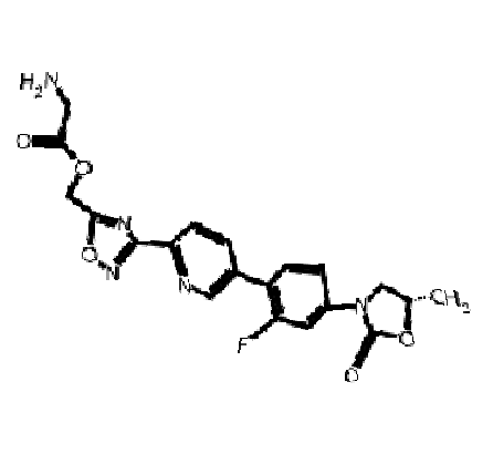 C[C@H]1CN(c2ccc(-c3ccc(-c4noc(COC(=O)CN)n4)nc3)c(F)c2)C(=O)O1